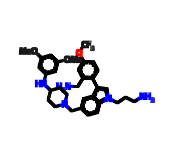 COc1cc(NC2CCN(Cc3ccc4c(c3)c(-c3ccc(OC(F)(F)F)cc3CN)cn4CCCN)CC2)cc(OC)c1